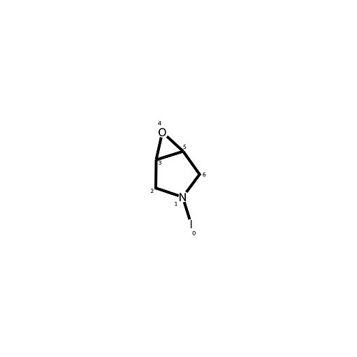 IN1CC2OC2C1